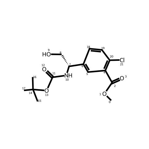 COC(=O)c1cc([C@@H](CO)NC(=O)OC(C)(C)C)ccc1Cl